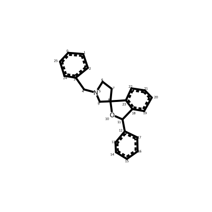 c1ccc(CN2CCC3(C2)OC(c2ccccc2)c2ccccc23)cc1